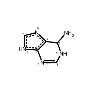 NC1NC=Nc2[nH]cnc21